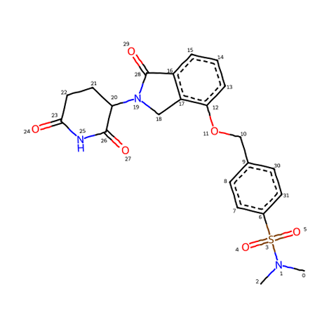 CN(C)S(=O)(=O)c1ccc(COc2cccc3c2CN(C2CCC(=O)NC2=O)C3=O)cc1